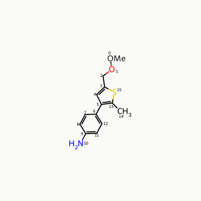 COOCc1cc(-c2ccc(N)cc2)c(C)s1